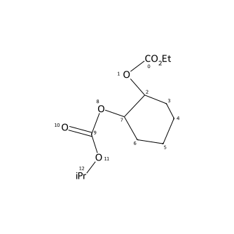 CCOC(=O)OC1CCCCC1OC(=O)OC(C)C